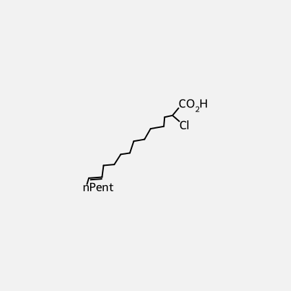 CCCCC/C=C/CCCCCCCCCC(Cl)C(=O)O